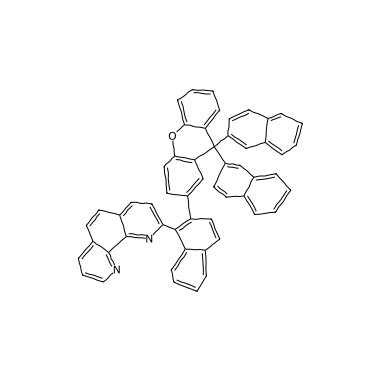 c1ccc2c(c1)Oc1ccc(-c3ccc4ccccc4c3-c3ccc4ccc5cccnc5c4n3)cc1C2(c1ccc2ccccc2c1)c1ccc2ccccc2c1